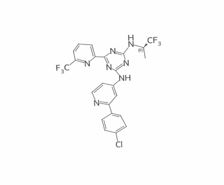 C[C@@H](Nc1nc(Nc2ccnc(-c3ccc(Cl)cc3)c2)nc(-c2cccc(C(F)(F)F)n2)n1)C(F)(F)F